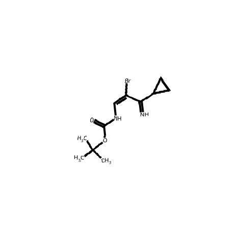 CC(C)(C)OC(=O)N/C=C(/Br)C(=N)C1CC1